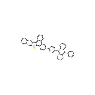 c1ccc(-c2c3ccccc3c(-c3ccc(-c4ccc5c(c4)c4ccccc4c4c6cc7ccccc7cc6sc54)cc3)c3ccccc23)cc1